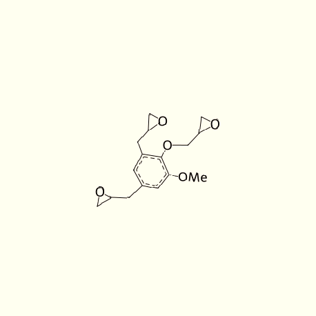 COc1cc(CC2CO2)cc(CC2CO2)c1OCC1CO1